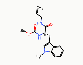 C=CCNC(=O)[C@H](Cc1cn(C)c2ccccc12)NC(=O)OC(C)(C)C